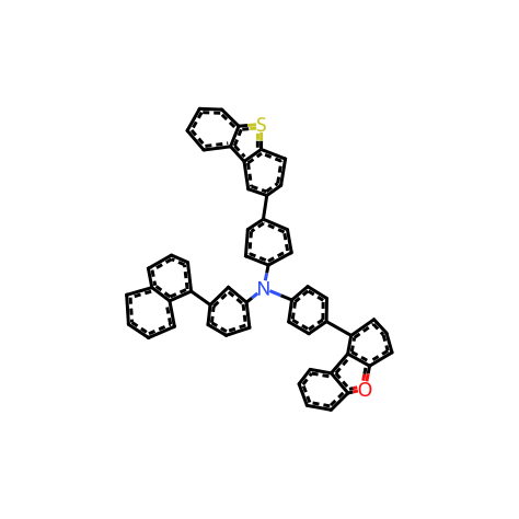 c1cc(-c2cccc3ccccc23)cc(N(c2ccc(-c3ccc4sc5ccccc5c4c3)cc2)c2ccc(-c3cccc4oc5ccccc5c34)cc2)c1